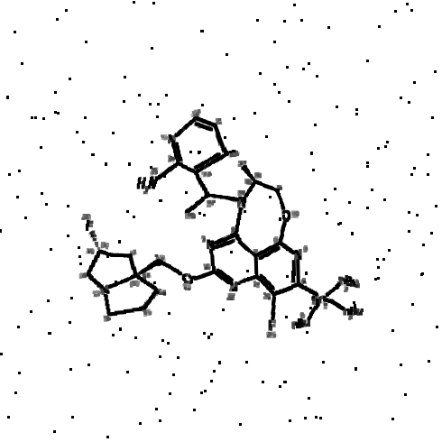 CCC[CH2][Sn]([CH2]CCC)([CH2]CCC)[c]1nc2c3c(nc(OC[C@@]45CCCN4C[C@H](F)C5)nc3c1F)N(C(C)c1cccnc1N)[C@@H](C)CO2